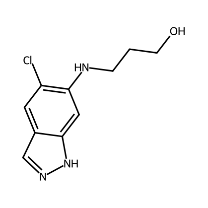 OCCCNc1cc2[nH]ncc2cc1Cl